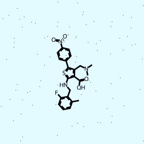 Cc1cccc(F)c1CNc1sc(-c2ccc([N+](=O)[O-])cc2)c(CN(C)C)c1C(=O)O